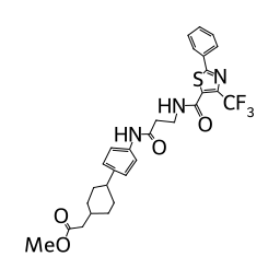 COC(=O)CC1CCC(c2ccc(NC(=O)CCNC(=O)c3sc(-c4ccccc4)nc3C(F)(F)F)cc2)CC1